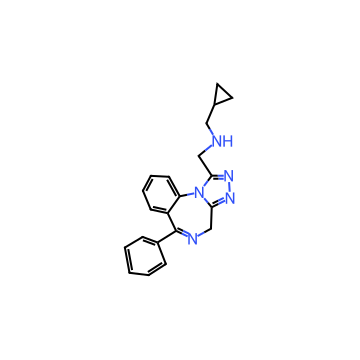 c1ccc(C2=NCc3nnc(CNCC4CC4)n3-c3ccccc32)cc1